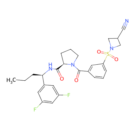 CCC[C@@H](NC(=O)[C@H]1CCCN1C(=O)c1cccc(S(=O)(=O)N2CC(C#N)C2)c1)c1cc(F)cc(F)c1